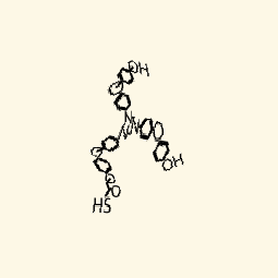 O=C(CS)COc1ccc(Oc2ccc(N3CN(c4ccc(Oc5ccc(O)cc5)cc4)CN(c4ccc(Oc5ccc(O)cc5)cc4)C3)cc2)cc1